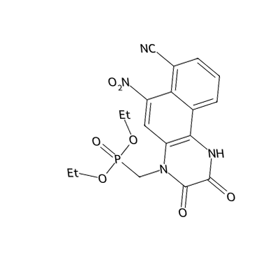 CCOP(=O)(Cn1c(=O)c(=O)[nH]c2c3cccc(C#N)c3c([N+](=O)[O-])cc21)OCC